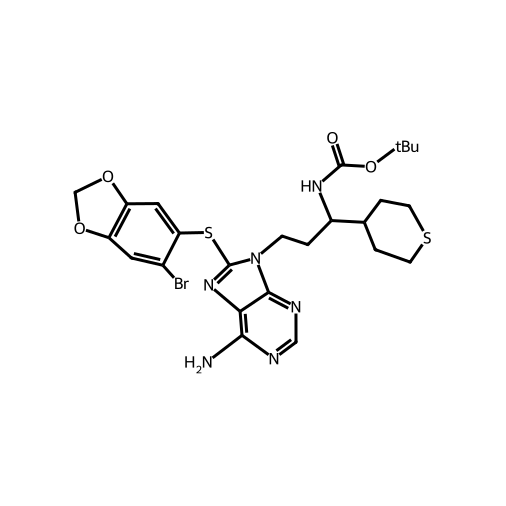 CC(C)(C)OC(=O)NC(CCn1c(Sc2cc3c(cc2Br)OCO3)nc2c(N)ncnc21)C1CCSCC1